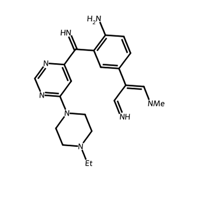 CCN1CCN(c2cc(C(=N)c3cc(/C(C=N)=C/NC)ccc3N)ncn2)CC1